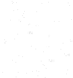 Cc1nn(-c2ccccc2)c(C)c1C(=O)Nc1ccc(OC2=CC=CN/C2=C\C=N)c(F)c1